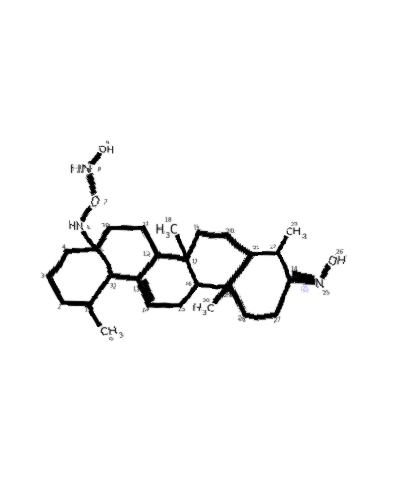 CC1CCCC2(NONO)CCC3C(=CCC4C3(C)CCC3C(C)/C(=N\O)CCC34C)C12